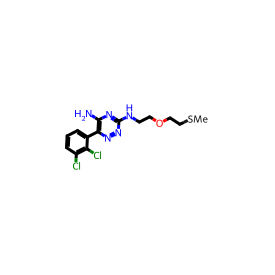 CSCCOCCNc1nnc(-c2cccc(Cl)c2Cl)c(N)n1